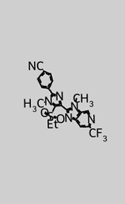 CCS(=O)(=O)c1c(-c2nc3cc(C(F)(F)F)ncc3n2C)nc(-c2ccc(C#N)cc2)n1C